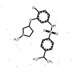 CC(C)c1ccc(S(=O)(=O)Nc2ccc(Cl)c(OC3CCN(C)C3)c2)cc1